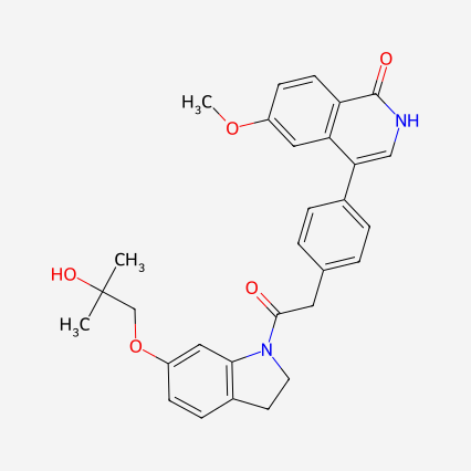 COc1ccc2c(=O)[nH]cc(-c3ccc(CC(=O)N4CCc5ccc(OCC(C)(C)O)cc54)cc3)c2c1